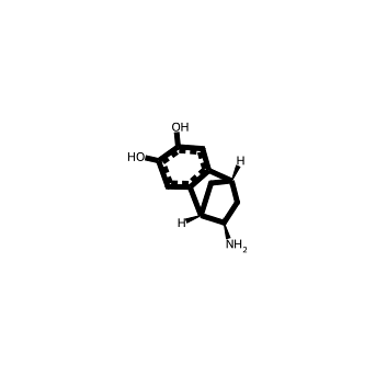 N[C@@H]1C[C@@H]2C[C@H]1c1cc(O)c(O)cc12